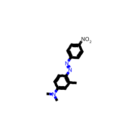 Cc1cc(N(C)C)ccc1/N=N/c1ccc([N+](=O)[O-])cc1